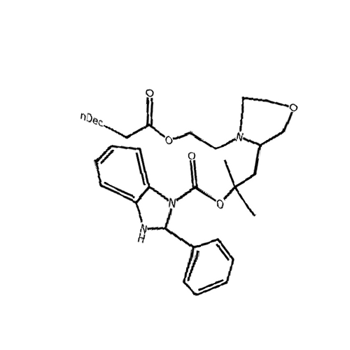 CCCCCCCCCCCC(=O)OCCN1CCOCC1CC(C)(C)OC(=O)N1c2ccccc2NC1c1ccccc1